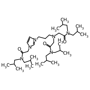 CC(C)CN(CC(C)C)C(=O)CN(CCC[n+]1ccn(CC(=O)N(CC(C)C)CC(C)C)c1)CC(=O)N(CC(C)C)CC(C)C